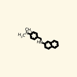 CN(C)c1ccc(CNc2ccc3ccccc3c2)cc1